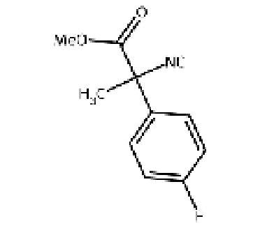 [C-]#[N+]C(C)(C(=O)OC)c1ccc(F)cc1